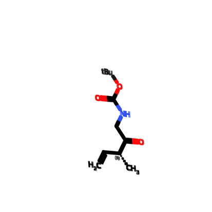 C=C[C@@H](C)C(=O)CNC(=O)OC(C)(C)C